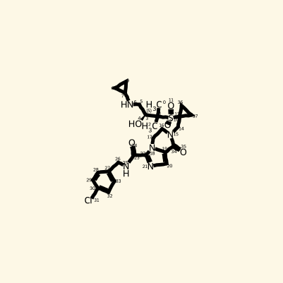 CC(C)([C@@H](O)CNC1CC1)S(=O)(=O)C1(CN2CCn3c(cnc3C(=O)NCc3ccc(Cl)cc3)C2=O)CC1